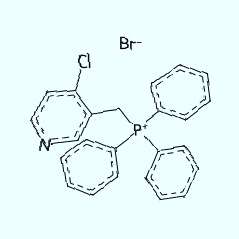 Clc1ccncc1C[P+](c1ccccc1)(c1ccccc1)c1ccccc1.[Br-]